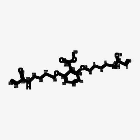 C=CC(=O)NCCCCOc1cccc(OCCCCNC(=O)C=C)c1C(=O)OC